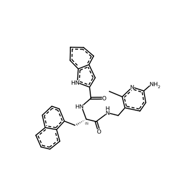 Cc1nc(N)ccc1CNC(=O)[C@H](Cc1cccc2ccccc12)NC(=O)c1cc2ccccc2[nH]1